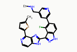 CCNCc1cncc(-c2ccc3[nH]nc(-c4nc5c(-c6ccc(C)s6)nccc5[nH]4)c3c2F)c1